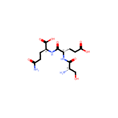 NC(=O)CC[C@H](NC(=O)[C@H](CCC(=O)O)NC(=O)[C@@H](N)CO)C(=O)O